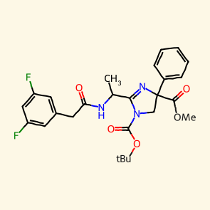 COC(=O)C1(c2ccccc2)CN(C(=O)OC(C)(C)C)C(C(C)NC(=O)Cc2cc(F)cc(F)c2)=N1